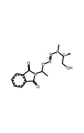 CC(O/N=N/N(C)[C@@H](C)CO)N1C(=O)c2ccccc2C1=O